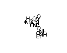 CCNC(=O)Nc1ccc(-c2nc(N3CCOC[C@@H]3C)c3c(n2)[C@@](C)(CCN2CCC2)OC3)cc1